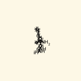 CC(C)NC(=O)Nc1ccc(-c2c(N)c3ccc(OCCCN4CCCC4)cc3n2C2CCC2)cc1